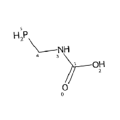 O=C(O)NCP